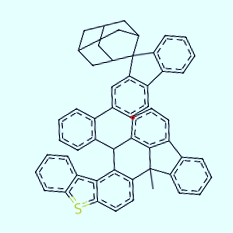 CC12c3ccccc3-c3cccc(c31)C(c1ccccc1-c1ccc3c(c1)C1(c4ccccc4-3)C3CC4CC(C3)CC1C4)c1c2ccc2sc3ccccc3c12